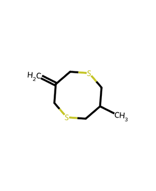 C=C1CSCC(C)CSC1